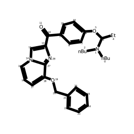 CCCCN(CCCC)C(CC)Oc1ccc(C(=O)c2cn3cccc(OCc4ccccc4)c3n2)cc1